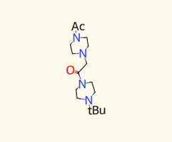 CC(=O)N1CCN(CC(=O)N2CCN(C(C)(C)C)CC2)CC1